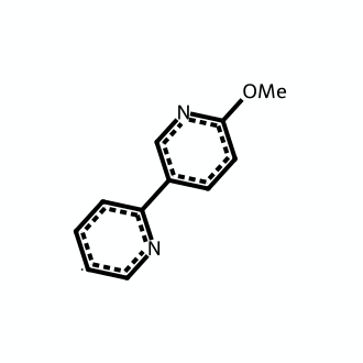 COc1ccc(-c2cc[c]cn2)cn1